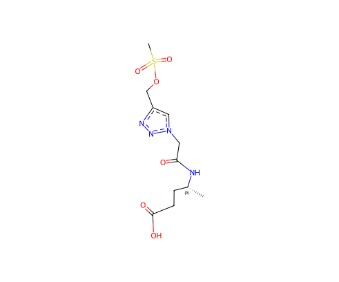 C[C@H](CCC(=O)O)NC(=O)Cn1cc(COS(C)(=O)=O)nn1